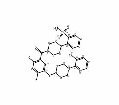 Cc1cc(C)c(C(=O)N2CCN(c3ccccc3S(N)(=O)=O)CC2)cc1CN1CCN(c2ncccc2Cl)CC1